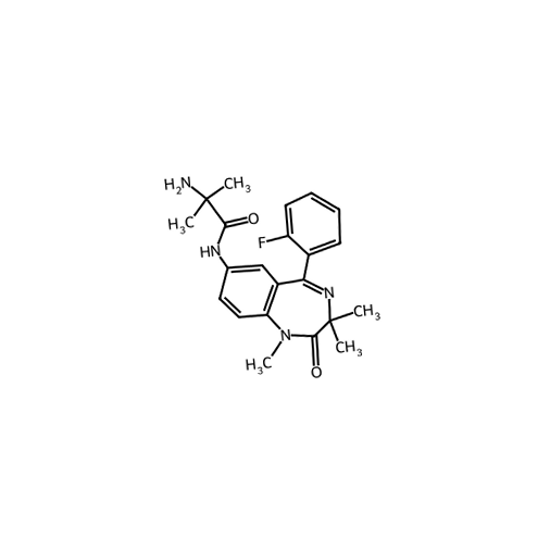 CN1C(=O)C(C)(C)N=C(c2ccccc2F)c2cc(NC(=O)C(C)(C)N)ccc21